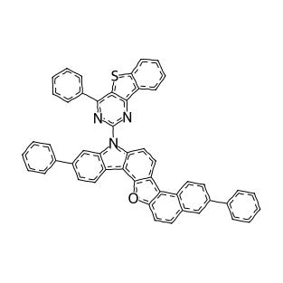 c1ccc(-c2ccc3c(ccc4oc5c(ccc6c5c5ccc(-c7ccccc7)cc5n6-c5nc(-c6ccccc6)c6sc7ccccc7c6n5)c43)c2)cc1